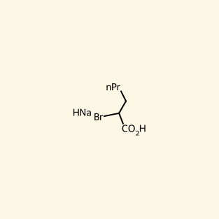 CCCCC(Br)C(=O)O.[NaH]